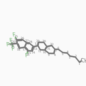 CCCCCCCC1CCC2CC(c3cc(F)c4cc(C(F)(F)F)c(F)cc4c3)CCC2C1